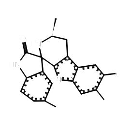 C[C@H]1Cc2c([nH]c3cc(Cl)c(F)cc23)C2(N1)C(=O)Nc1ccc(Cl)cc12